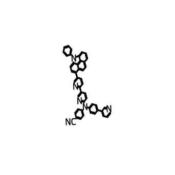 N#Cc1ccc(N(c2ccc(-c3cccnc3)cc2)c2ccc(-c3ccc(-c4ccc5c6c4ccc4cccc(c46)n5-c4ccccc4)cn3)cn2)cc1